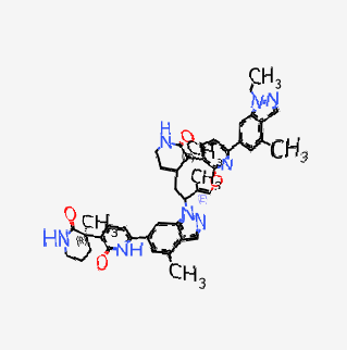 CCn1ncc2c(C)cc(-c3ccc4c(n3)O/C=C(\C)C(n3ncc5c(C)cc(-c6ccc([C@@]7(C)CCCNC7=O)c(=O)[nH]6)cc53)CC3CCNC(=O)[C@@]43C)cc21